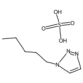 CCCCCn1ccnn1.O=S(=O)(O)O